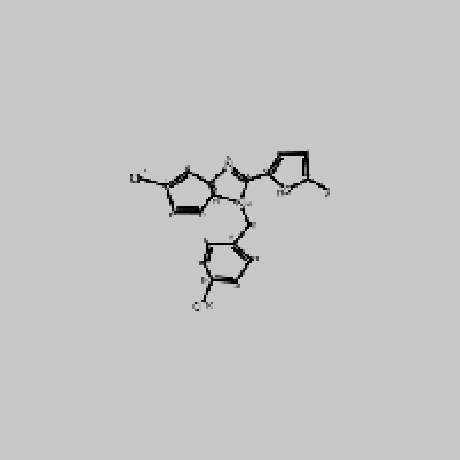 Cc1ccc(-c2nc3cc(Cl)ccc3n2Cc2ccc(Cl)cc2)s1